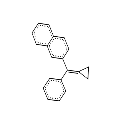 c1ccc(C(=C2CC2)c2ccc3ccccc3c2)cc1